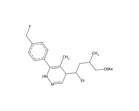 CCC(CC(C)COC)C1C=NNC(c2ccc(CF)cc2)=C1C